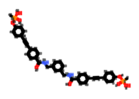 CP(=O)(O)Oc1ccc(C#Cc2ccc(C(=O)NCc3cccc(CNC(=O)c4ccc(C#Cc5ccc(OP(C)(=O)O)cc5)cc4)c3)cc2)cc1